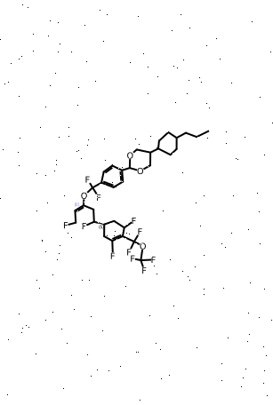 CCCC1CCC(C2COC(c3ccc(C(F)(F)O/C(=C/CF)CC(F)[C@@H]4CC(F)=C(C(F)(F)OC(F)(F)F)C(F)C4)cc3)OC2)CC1